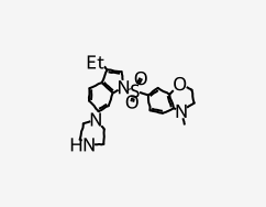 CCc1cn(S(=O)(=O)c2ccc3c(c2)OCCN3C)c2cc(N3CCNCC3)ccc12